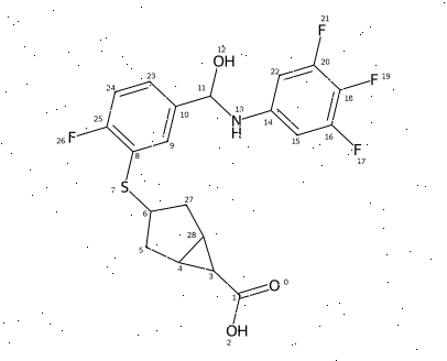 O=C(O)C1C2CC(Sc3cc(C(O)Nc4cc(F)c(F)c(F)c4)ccc3F)CC21